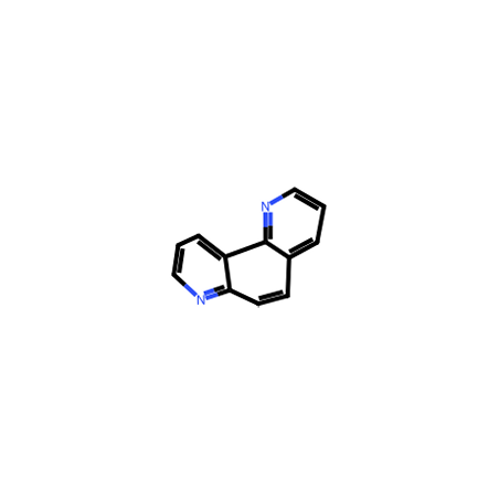 [c]1cc2cccnc2c2cccnc12